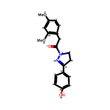 COc1ccc(CC(=O)N2CCC(c3ccc(O)cc3)=N2)c(OC)c1